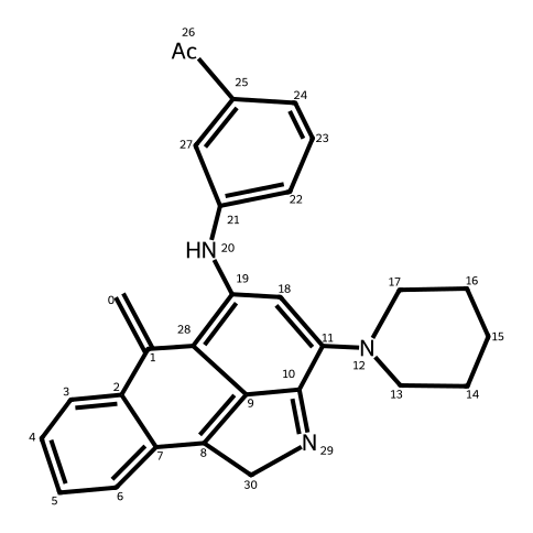 C=c1c2ccccc2c2c3c(c(N4CCCCC4)cc(Nc4cccc(C(C)=O)c4)c13)=NC2